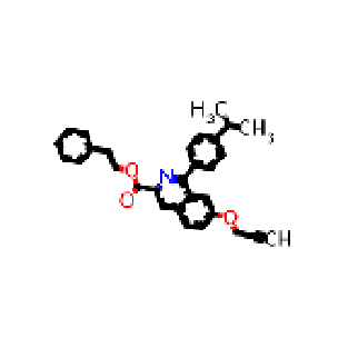 C#CCOc1ccc2cc(C(=O)OCCc3ccccc3)nc(-c3ccc(C(C)C)cc3)c2c1